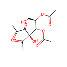 CC(=O)O[C@H](CO)[C@H](OC(C)=O)[C@](O)(C(C)=O)C(=O)C(C)=O